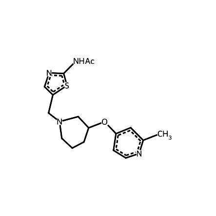 CC(=O)Nc1ncc(CN2CCCC(Oc3ccnc(C)c3)C2)s1